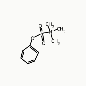 C[N+](C)(C)S(=O)(=O)Oc1ccccc1